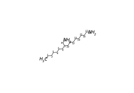 CCCCCCCC(CN)CCCCCCCCN